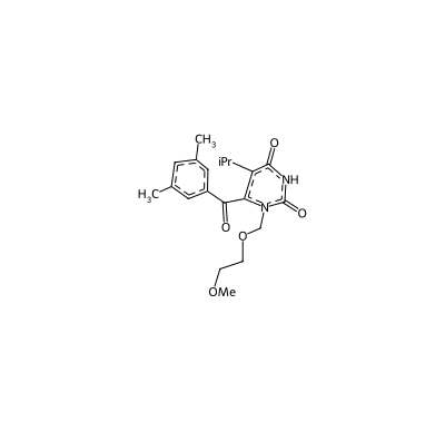 COCCOCn1c(C(=O)c2cc(C)cc(C)c2)c(C(C)C)c(=O)[nH]c1=O